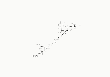 NS(=O)(=O)c1ccc(-n2nc(CCCCCCCCCN(CCS)CC(=O)NCCS)cc2-c2ccc(F)cc2)cc1